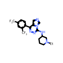 CCN1CCCC(Nc2nnc(-c3ccc(C(F)(F)F)cc3C(F)(F)F)c3cncn23)C1